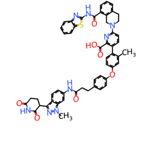 Cc1cc(Oc2ccc(CCC(=O)Nc3ccc4c(C5CCC(=O)NC5=O)nn(C)c4c3)cc2)ccc1-c1ccc(N2CCc3cccc(C(=O)Nc4nc5ccccc5s4)c3C2)nc1C(=O)O